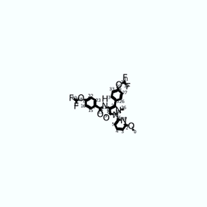 COc1cccc(-n2c(=O)c(NC(=O)c3ccc(OC(F)F)cc3)c(-c3ccc(OC(F)F)cc3)n2C)n1